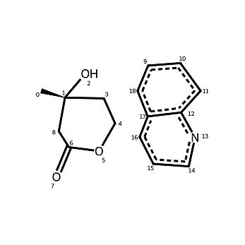 C[C@@]1(O)CCOC(=O)C1.c1ccc2ncccc2c1